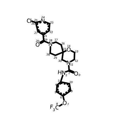 O=C(Nc1ccc(OC(F)(F)F)cc1)N1CCOC2(CCN(C(=O)c3ccnc(Cl)c3)CC2)C1